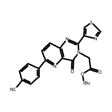 CC(C)(C)OC(=O)Cn1c(-c2cscn2)nc2ccc(-c3ccc(C#N)cc3)nc2c1=O